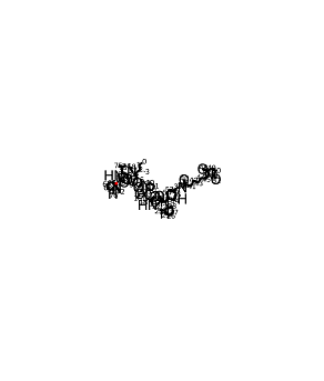 CC[C@H](C)[C@@H]([C@@H](CC(=O)N1CCC[C@H]1[C@H](OC)[C@@H](C)C(=O)N[C@@H](Cc1ccccc1)C(=O)Nc1ccc(CNC(=O)CCCCCN2C(=O)C=CC2=O)cc1)OC)N(C)C(=O)[C@@H](NC(=O)[C@@H]1C2CC[C@@H](C2)N1C)C(C)C